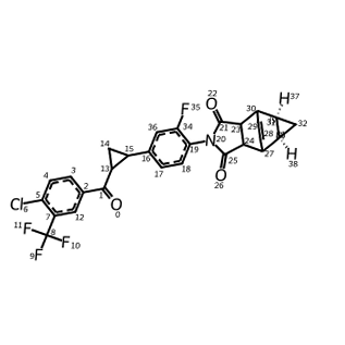 O=C(c1ccc(Cl)c(C(F)(F)F)c1)C1CC1c1ccc(N2C(=O)C3C(C2=O)C2C=CC3[C@H]3C[C@@H]23)c(F)c1